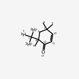 [2H]C([2H])([2H])C1(C)CC(C)(C)C=CC1=O